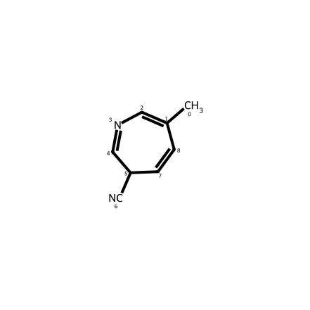 CC1=CN=CC(C#N)C=C1